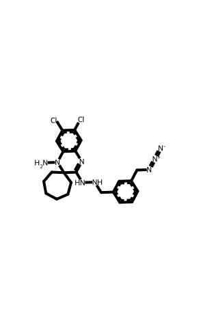 [N-]=[N+]=NCc1cccc(CNNC2=Nc3cc(Cl)c(Cl)cc3N(N)C23CCCCCC3)c1